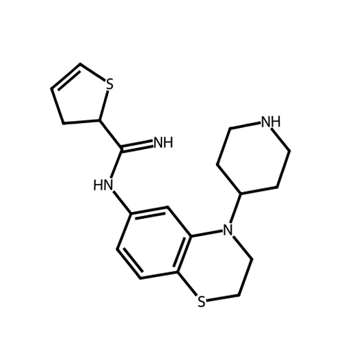 N=C(Nc1ccc2c(c1)N(C1CCNCC1)CCS2)C1CC=CS1